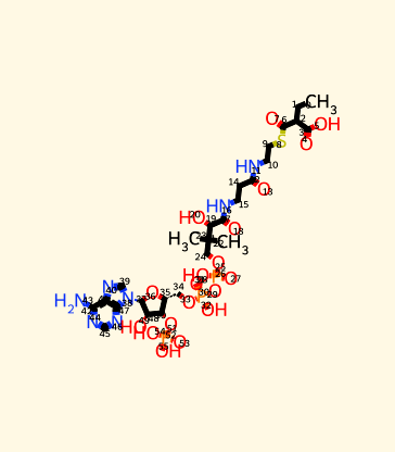 CCC(C(=O)O)C(=O)SCCNC(=O)CCNC(=O)C(O)C(C)(C)COP(=O)(O)OP(=O)(O)OC[C@H]1O[C@@H](n2cnc3c(N)ncnc32)[C@H](O)[C@@H]1OP(=O)(O)O